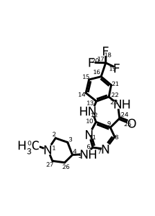 CN1CCC(Nc2ncc3c(n2)Nc2ccc(C(F)(F)F)cc2NC3=O)CC1